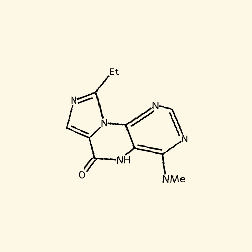 CCc1ncc2c(=O)[nH]c3c(NC)ncnc3n12